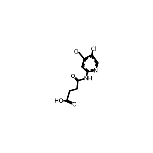 O=C(O)CCC(=O)Nc1cc(Cl)c(Cl)cn1